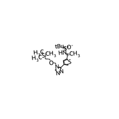 C[C@@H](N[S@@+]([O-])C(C)(C)C)c1cc(-c2nncn2COCC[Si](C)(C)C)cs1